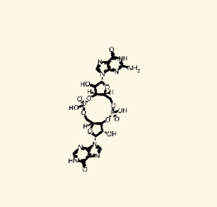 Nc1nc2c(ncn2[C@@H]2O[C@@H]3COP(=O)(O)OC4[C@@H](COP(=O)(O)O[C@@H]3C2O)O[C@@H](n2cnc3c(=O)[nH]cnc32)[C@H]4O)c(=O)[nH]1